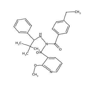 CCc1ccc(C(=O)N(NC(c2ccccc2)C(C)(C)C)C(=O)c2cccnc2OC)cc1